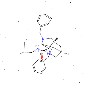 CC(C)CNC(=O)[C@]12NC[C@@H]3C[C@H]1CN(Cc1ccccc1)[C@H]2[C@@H]3Cc1ccccc1